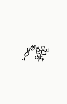 CC(C)c1ccc(O[C@H]2CN[C@H](C(COC(=O)C(F)(F)F)Oc3cccc(Cl)c3Cl)C2)cc1